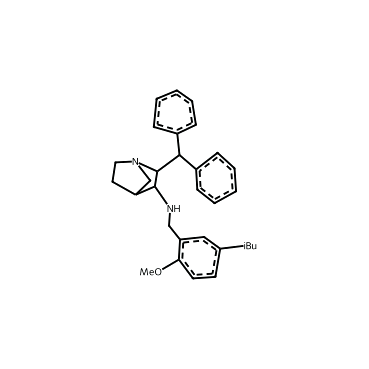 CCC(C)c1ccc(OC)c(CNC2C3CCN(C3)C2C(c2ccccc2)c2ccccc2)c1